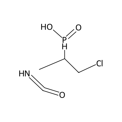 CC(CCl)[PH](=O)O.N=C=O